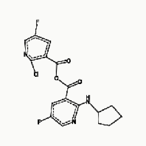 O=C(OC(=O)c1cc(F)cnc1NC1CCCC1)c1cc(F)cnc1Cl